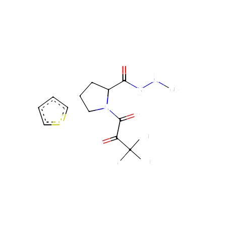 CCCCCNNC(=O)C1CCCN1C(=O)C(=O)C(C)(C)CC.c1ccsc1